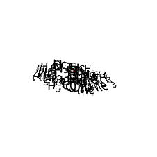 CC[C@H]1OC(=O)[C@H](C)C([C@H]2C[C@@](C)(OC)[C@@H](O)[C@H](C)O2)[C@H](C)[C@@H](O[C@@H]2O[C@H](C)C[C@H](N(C)CCc3cn([C@H](CF)[C@H](OC)c4ccc(S(=O)(=O)N(C)C)cc4)nn3)[C@H]2O)[C@](C)(O)C[C@@H](C)CN(C)[C@H](C)[C@@H](O)[C@]1(C)O